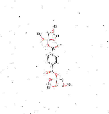 CCOCC(OCC)(OCC)OC(=O)c1ccc(C(=O)OC(COCC)(OCC)OCC)cc1